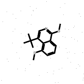 COc1ncc(C(C)(C)C)c2c(OC)cccc12